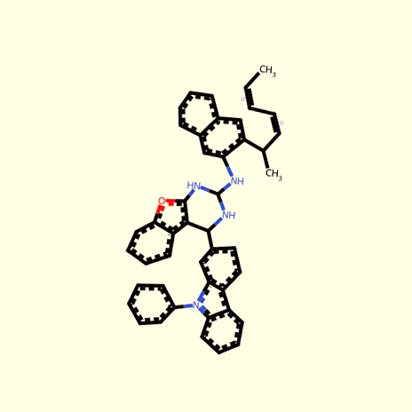 C/C=C\C=C/C(C)c1cc2ccccc2cc1NC1Nc2oc3ccccc3c2C(c2ccc3c4ccccc4n(-c4ccccc4)c3c2)N1